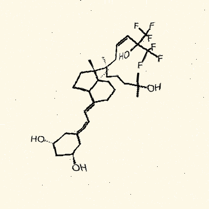 CC(C)(O)CCC[C@](C)(C/C=C\C(O)(C(F)(F)F)C(F)(F)F)[C@@]1(C)CCC2/C(=C/C=C3C[C@@H](O)C[C@H](O)C3)CCC[C@@]21C